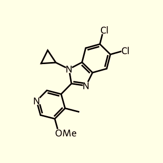 COc1cncc(-c2nc3cc(Cl)c(Cl)cc3n2C2CC2)c1C